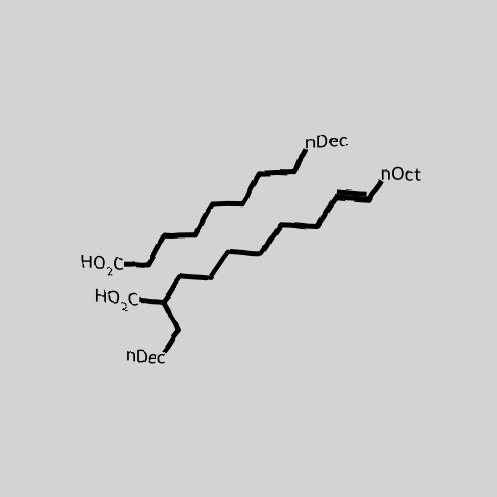 CCCCCCCCC=CCCCCCCC(CCCCCCCCCCC)C(=O)O.CCCCCCCCCCCCCCCCCC(=O)O